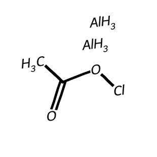 CC(=O)OCl.[AlH3].[AlH3]